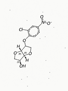 O=[N+]([O-])c1ccc(OC2CO[C@H]3[C@@H]2OC[C@@H]3O)c(Cl)c1